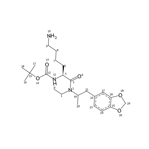 CCN(C(=O)[C@H](CCCCN)NC(=O)OC(C)(C)C)C(C)Cc1ccc2c(c1)OCO2